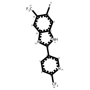 Fc1cc2[nH]c(-c3ccc(C(F)(F)F)nc3)nc2cc1C(F)(F)F